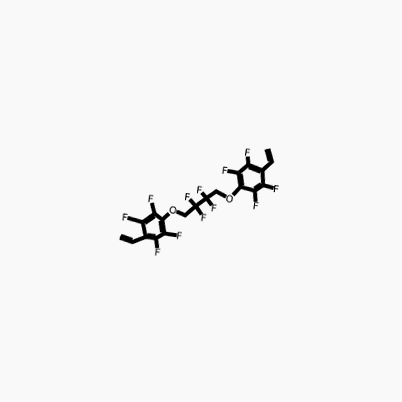 C=Cc1c(F)c(F)c(OCC(F)(F)C(F)(F)COc2c(F)c(F)c(C=C)c(F)c2F)c(F)c1F